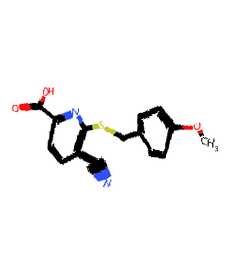 COc1ccc(CSc2nc(C(=O)O)ccc2C#N)cc1